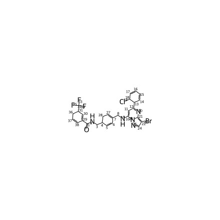 O=C(NCC1C=CC(CNc2cc(C3C=CC=CC3Cl)nc3c(Br)cnn23)=CC1)C1=CC(C(F)(F)F)CC=C1